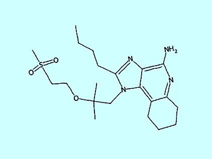 CCCCc1nc2c(N)nc3c(c2n1CC(C)(C)OCCS(C)(=O)=O)CCCC3